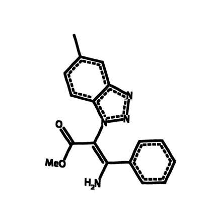 COC(=O)/C(=C(\N)c1ccccc1)n1nnc2cc(C)ccc21